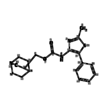 Cc1nc(NC(=O)OCC2CN3CCC2CC3)c(-c2ccccc2)s1